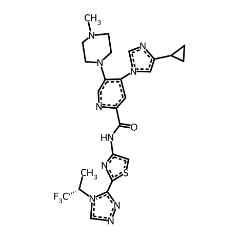 C[C@H](n1cnnc1-c1nc(NC(=O)c2cc(-n3cnc(C4CC4)c3)c(N3CCN(C)CC3)cn2)cs1)C(F)(F)F